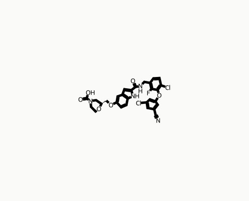 N#Cc1cc(Cl)cc(Oc2c(Cl)ccc(CNC(=O)c3cc4cc(OC[C@H]5CN(C(=O)O)CCO5)ccc4[nH]3)c2F)c1